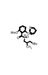 COc1cccc(OC)c1C(=O)[PH](=O)CC(C)CC(C)(C)C.c1ccncc1